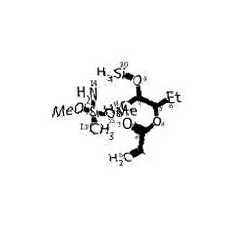 C=CC(=O)OC(CC)C(C)O[SiH3].CO[Si](C)(N)OC